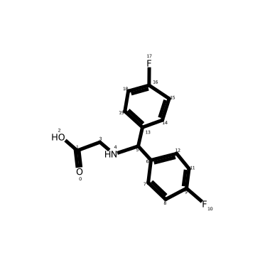 O=C(O)CNC(c1ccc(F)cc1)c1ccc(F)cc1